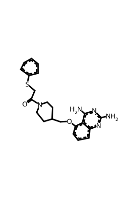 Nc1nc(N)c2c(OCC3CCN(C(=O)CSc4ccccc4)CC3)cccc2n1